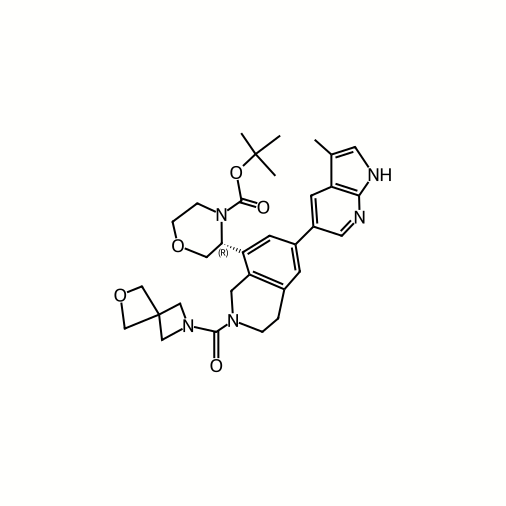 Cc1c[nH]c2ncc(-c3cc4c(c([C@@H]5COCCN5C(=O)OC(C)(C)C)c3)CN(C(=O)N3CC5(COC5)C3)CC4)cc12